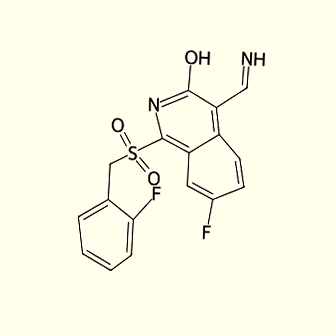 N=Cc1c(O)nc(S(=O)(=O)Cc2ccccc2F)c2cc(F)ccc12